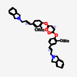 COc1cc(/C=C/CN2Cc3ccccc3C2)ccc1OC(=O)/C=C\C(=O)Oc1ccc(/C=C/CN2Cc3ccccc3C2)cc1OC